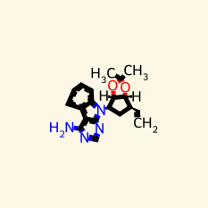 C=C[C@H]1C[C@@H](n2c3ccccc3c3c(N)ncnc32)[C@@H]2OC(C)(C)O[C@@H]21